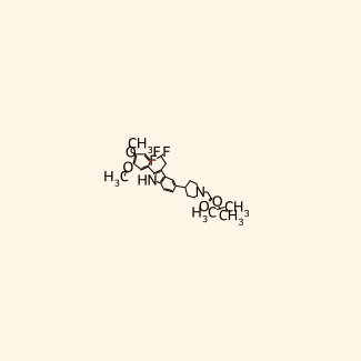 COc1ccc(-c2[nH]c3ccc(C4CCN(CC(=O)OC(C)(C)C)CC4)cc3c2CC(F)(F)F)cc1OC